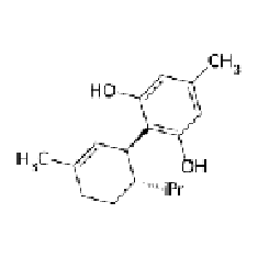 CC1=C[C@@H](c2c(O)cc(C)cc2O)[C@H](C(C)C)CC1